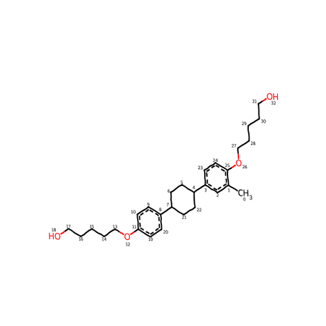 Cc1cc(C2CCC(c3ccc(OCCCCCO)cc3)CC2)ccc1OCCCCCO